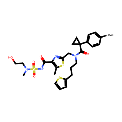 COc1ccc(C2(C(=O)N(CCCc3cccs3)Cc3nc(C(=O)NS(=O)(=O)N(C)CCO)c(C)s3)CC2)cc1